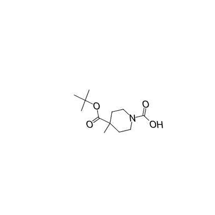 CC(C)(C)OC(=O)C1(C)CCN(C(=O)O)CC1